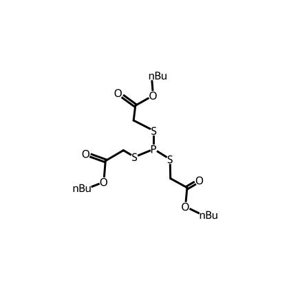 CCCCOC(=O)CSP(SCC(=O)OCCCC)SCC(=O)OCCCC